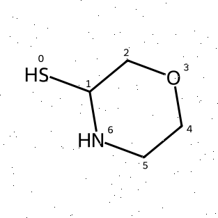 SC1COCCN1